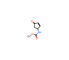 CCOC(=O)NC1C=CC(=O)C1